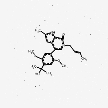 CC=CCn1cc(-c2cc(OC)c(C(C)(C)O)cc2OC)c2cc(C)[nH]c2c1=O